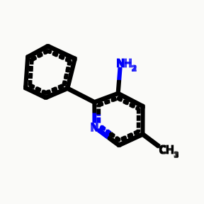 Cc1cnc(-c2ccccc2)c(N)c1